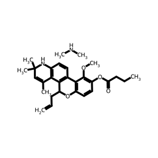 C=CCC1Oc2ccc(OC(=O)CCC)c(OC)c2-c2ccc3c(c21)C(C)=CC(C)(C)N3.CNC